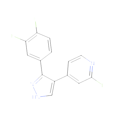 Fc1cc(-c2c[nH]nc2-c2ccc(F)c(F)c2)ccn1